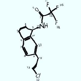 O=C(NC1CCc2ccc(CCCl)cc21)C(F)(F)F